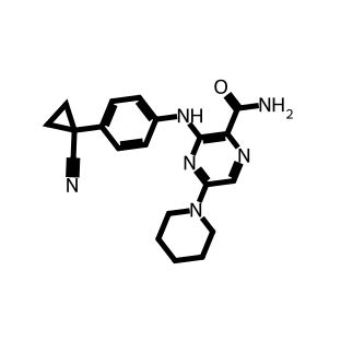 N#CC1(c2ccc(Nc3nc(N4CCCCC4)cnc3C(N)=O)cc2)CC1